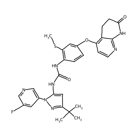 CSc1cc(Oc2ccnc3c2CCC(=O)N3)ccc1NC(=O)Nc1cc(C(C)(C)C)nn1-c1cncc(F)c1